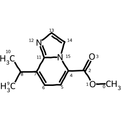 COC(=O)c1ccc(C(C)C)c2nccn12